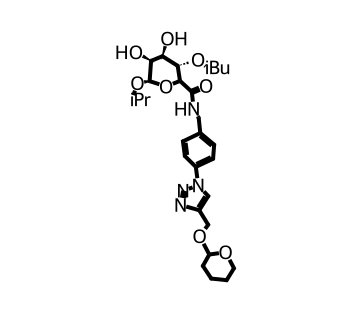 CCC(C)O[C@@H]1C(C(=O)NCc2ccc(-n3cc(COC4CCCCO4)nn3)cc2)O[C@@H](OC(C)C)[C@@H](O)[C@H]1O